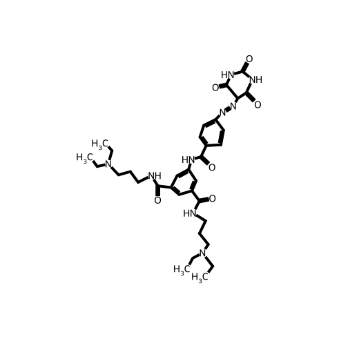 CCN(CC)CCCNC(=O)c1cc(NC(=O)c2ccc(N=NC3C(=O)NC(=O)NC3=O)cc2)cc(C(=O)NCCCN(CC)CC)c1